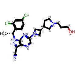 C[C@H](c1ccc(Cl)cc1Cl)n1nc(C#N)c2ncc(N3CC([C@H]4CCN(CCCO)C4)C3)nc21